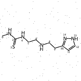 CNC(=S)NCCNCCc1cc[nH]n1